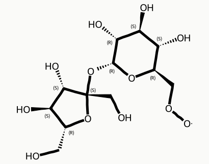 [O]OC[C@H]1O[C@H](O[C@]2(CO)O[C@H](CO)[C@@H](O)[C@@H]2O)[C@H](O)[C@@H](O)[C@@H]1O